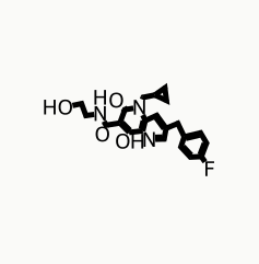 O=C(NCCO)c1c(O)c2ncc(Cc3ccc(F)cc3)cc2n(CC2CC2)c1=O